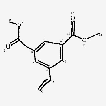 C=Cc1cc(C(=O)OC)cc(C(=O)OC)c1